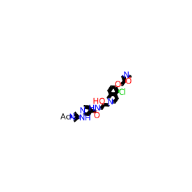 CC(=O)N1CC(Nc2cc(C(=O)NCC(O)CN3CCc4c(ccc(OCc5cnco5)c4Cl)C3)ccn2)C1